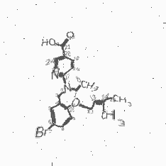 CCN(Cc1cc(Br)ccc1OCC=C(C)C)c1ccc(C(=O)O)cn1